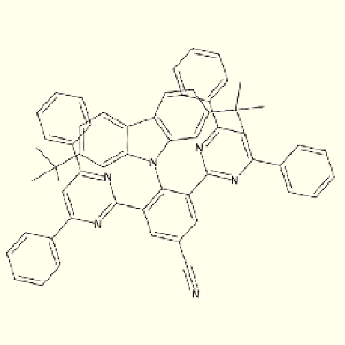 CC(C)(C)c1ccc2c3ccc(C(C)(C)C)cc3n(-c3c(-c4nc(-c5ccccc5)cc(-c5ccccc5)n4)cc(C#N)cc3-c3nc(-c4ccccc4)cc(-c4ccccc4)n3)c2c1